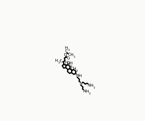 CC(C)OC(=O)CC[C@@H](C)C1CCC2C3CCC4C[C@@H](NCCCN(CCCN)CCCN)CC[C@]4(C)C3C[C@H](O)[C@@]21C